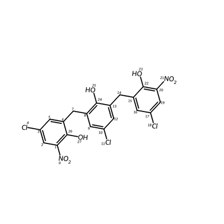 O=[N+]([O-])c1cc(Cl)cc(Cc2cc(Cl)cc(Cc3cc(Cl)cc([N+](=O)[O-])c3O)c2O)c1O